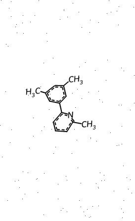 Cc1cc(C)cc(-c2cccc(C)n2)c1